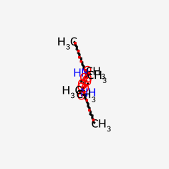 CCCCCCCCCCCCCCCC(=O)NC(C(=O)OC1COC2C(OC(=O)C(NC(=O)CCCCCCCCCCCCCCC)C(C)C)COC12)C(C)C